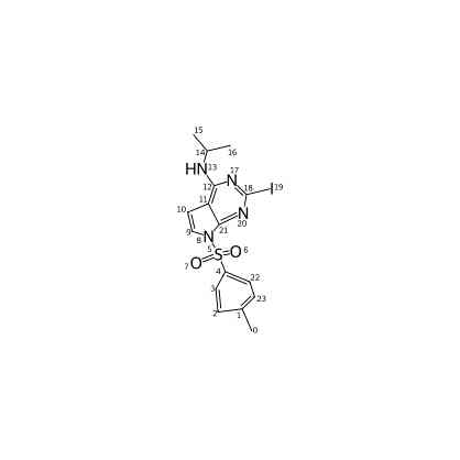 Cc1ccc(S(=O)(=O)n2ccc3c(NC(C)C)nc(I)nc32)cc1